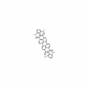 CCc1cccc(CC)c1N1C(=O)c2ccc3c4ccc5c6c(ccc(c7ccc(c2c37)C1=O)c64)C(=O)N(c1c(CC)cccc1CC)C5=O